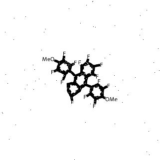 COc1c(F)c(F)c(-c2c3ccc(F)cc3c(-c3c(F)c(F)c(OC)c(F)c3F)c3c(F)c(F)c(F)c(F)c23)c(F)c1F